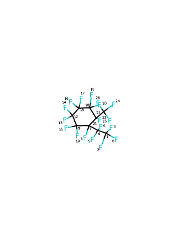 FC(F)(F)C(F)(F)C1(F)C(F)(F)C(F)(F)C(F)(F)C(F)(F)C1(F)C(F)(F)F